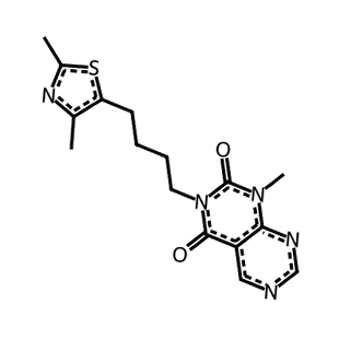 Cc1nc(C)c(CCCCn2c(=O)c3cncnc3n(C)c2=O)s1